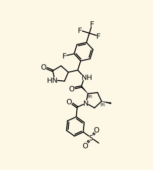 C[C@@H]1C[C@H](C(=O)NC(c2ccc(C(F)(F)F)cc2F)C2CNC(=O)C2)N(C(=O)c2cccc(S(C)(=O)=O)c2)C1